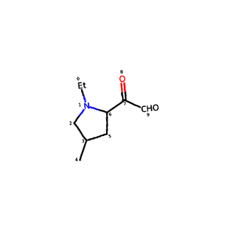 CCN1CC(C)CC1C(=O)C=O